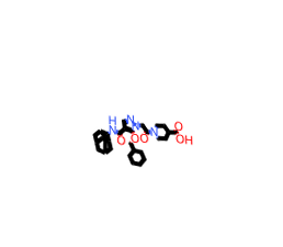 O=C(NC1C2CC3CC(C2)CC1C3)c1cnn(CC(=O)N2CCC(C(=O)O)CC2)c1OCC1CCCCC1